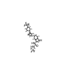 O=C(NCC(F)(F)F)Nc1c[nH]c2ccc(-c3cnn(-c4ccc(C(F)(F)F)cc4)c3)cc12